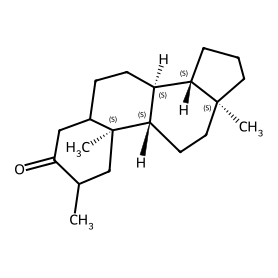 CC1C[C@@]2(C)C(CC[C@H]3[C@@H]4CCC[C@@]4(C)CC[C@@H]32)CC1=O